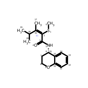 CS/C(C(=O)N[C@H]1CCOc2ccccc21)=C(\C)C(C)C